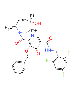 CC[C@]1(O)C=C[C@H](C)N2C[C@H]1n1cc(C(=O)NCc3c(F)cc(F)cc3F)c(=O)c(OCc3ccccc3)c1C2=O